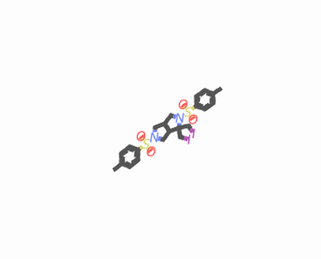 Cc1ccc(S(=O)(=O)N2CC3CN(S(=O)(=O)c4ccc(C)cc4)C(CI)(CI)C3C2)cc1